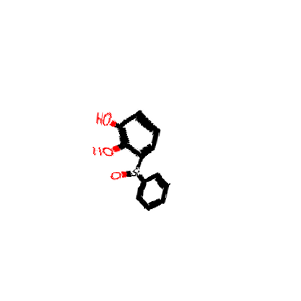 O=[Si](c1ccccc1)c1cccc(O)c1O